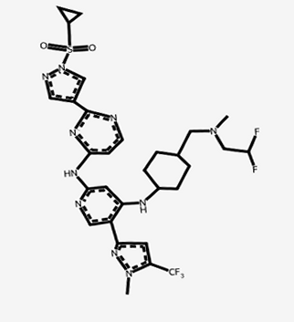 CN(CC(F)F)CC1CCC(Nc2cc(Nc3ccnc(-c4cnn(S(=O)(=O)C5CC5)c4)n3)ncc2-c2cc(C(F)(F)F)n(C)n2)CC1